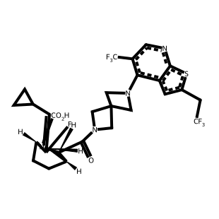 O=C([C@@H]1[C@@H]2CC[C@@H](/C(=C\C3CC3)[C@@H]2F)N1C(=O)O)N1CC2(C1)CN(c1c(C(F)(F)F)cnc3sc(CC(F)(F)F)cc13)C2